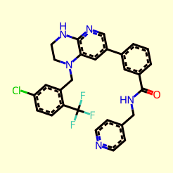 O=C(NCc1ccncc1)c1cccc(-c2cnc3c(c2)N(Cc2cc(Cl)ccc2C(F)(F)F)CCN3)c1